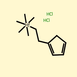 Cl.Cl.[CH3][Hf]([CH3])([CH3])([CH3])([CH3])[CH2]CC1=CC=CC1